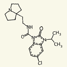 CC(C)n1c(=O)n(C(=O)NCCC23CCCN2CCC3)c2ccc(Cl)cc21